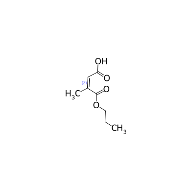 CCCOC(=O)/C(C)=C\C(=O)O